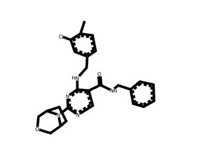 Cc1ccc(CNc2nc(N3C4CCC3COC4)ncc2C(=O)NCc2ccccc2)cc1Cl